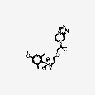 COc1cc(C)c(S(=O)(=O)N(C)CCOCC(=O)N2CCn3cnnc3C2)c(C)c1